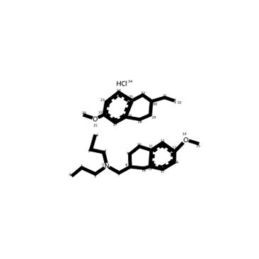 CCCN(CCC)CC1CCc2cc(OC)ccc2C1.COc1ccc2c(c1)CCC(CI)C2.Cl